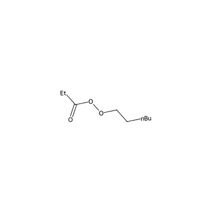 CCCCCCOOC(=O)CC